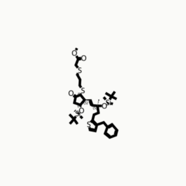 COC(=O)CSCCCS[C@H]1C(=O)C[C@@H](O[Si](C)(C)C(C)(C)C)[C@@H]1C=C[C@](C)(CCc1sccc1Cc1ccccc1)O[Si](C)(C)C(C)(C)C